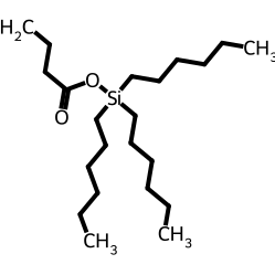 [CH2]CCC(=O)O[Si](CCCCCC)(CCCCCC)CCCCCC